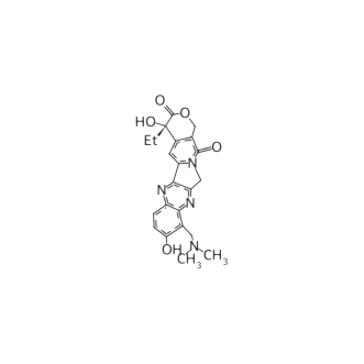 CC[C@@]1(O)C(=O)OCc2c1cc1n(c2=O)Cc2nc3c(CN(C)C)c(O)ccc3nc2-1